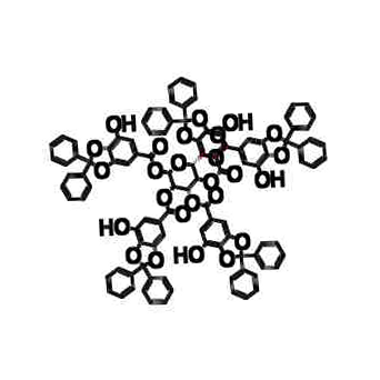 O=C(OC[C@H]1O[C@H](OC(=O)c2cc(O)c3c(c2)OC(c2ccccc2)(c2ccccc2)O3)[C@H](OC(=O)c2cc(O)c3c(c2)OC(c2ccccc2)(c2ccccc2)O3)[C@@H](OC(=O)c2cc(O)c3c(c2)OC(c2ccccc2)(c2ccccc2)O3)[C@@H]1OC(=O)c1cc(O)c2c(c1)OC(c1ccccc1)(c1ccccc1)O2)c1cc(O)c2c(c1)OC(c1ccccc1)(c1ccccc1)O2